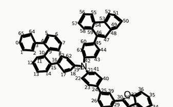 c1ccc(-c2ccccc2-c2ccccc2-c2ccc(N(c3ccc(-c4cccc(-c5cc6ccccc6o5)c4)cc3)c3ccc(-c4cc5ccccc5c5ccccc45)cc3)cc2)cc1